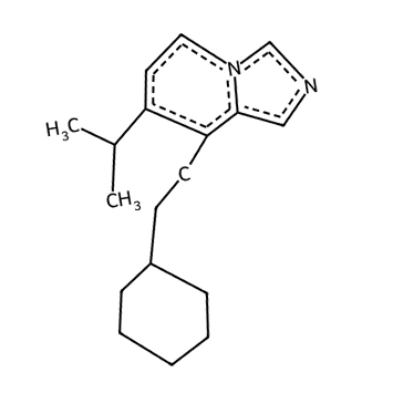 CC(C)c1ccn2cncc2c1CCC1CCCCC1